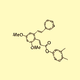 COc1cc(/C=C/c2ccccc2)c(/C=C/C(=O)Oc2ccc(C)c(C)c2)c(OC)c1